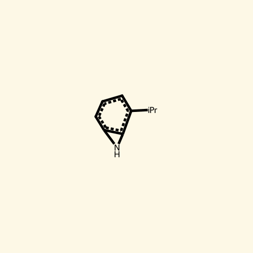 CC(C)c1cccc2c1N2